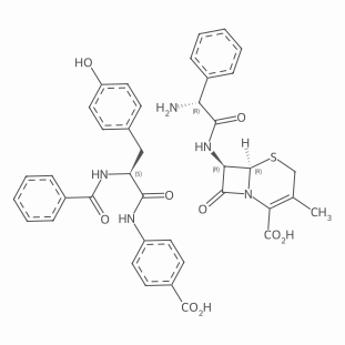 CC1=C(C(=O)O)N2C(=O)[C@@H](NC(=O)[C@H](N)c3ccccc3)[C@H]2SC1.O=C(O)c1ccc(NC(=O)[C@H](Cc2ccc(O)cc2)NC(=O)c2ccccc2)cc1